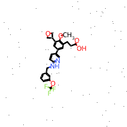 COc1c(CCC(=O)O)cc(-c2ccc(NCc3cccc(OC(F)(F)F)c3)nc2)cc1C1COC1